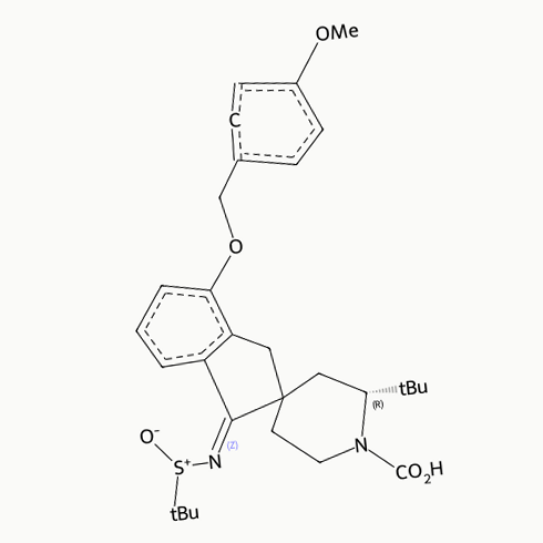 COc1ccc(COc2cccc3c2CC2(CCN(C(=O)O)[C@@H](C(C)(C)C)C2)/C3=N/[S+]([O-])C(C)(C)C)cc1